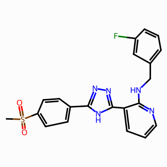 CS(=O)(=O)c1ccc(-c2nnc(-c3cccnc3NCc3cccc(F)c3)[nH]2)cc1